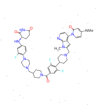 CNc1ccn(-c2ccnc3c2cc(CN2CCC(c4c(F)cc(C(=O)N5CCC(CN6CCN(c7ccc(N[C@@H]8CCC(=O)NC8=O)cc7F)CC6)CC5)cc4F)CC2)n3C)c(=O)c1